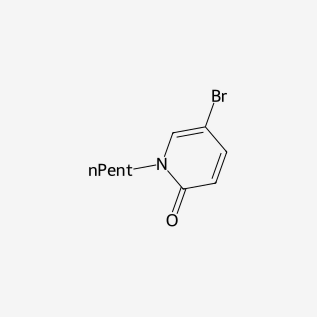 CCCCCn1cc(Br)ccc1=O